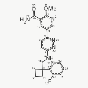 COc1ncc(-c2ccc(NCC3(c4ncccc4F)CCC3)nn2)cc1C(N)=O